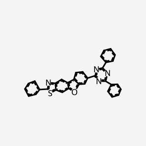 c1ccc(-c2nc(-c3ccccc3)nc(-c3ccc4c(c3)oc3cc5sc(-c6ccccc6)nc5cc34)n2)cc1